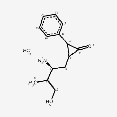 CC(CO)[C@@H](N)CC1C(=O)C1c1ccccc1.Cl